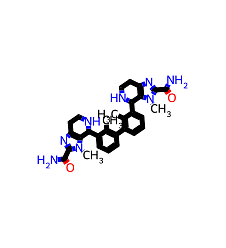 Cc1c(-c2cccc(C3NCCc4nc(C(N)=O)n(C)c43)c2C)cccc1C1NCCc2nc(C(N)=O)n(C)c21